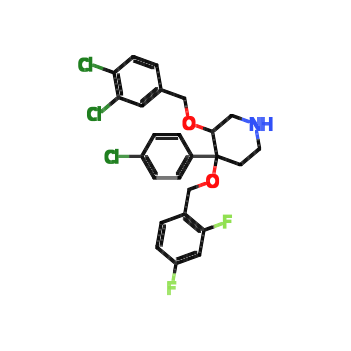 Fc1ccc(COC2(c3ccc(Cl)cc3)CCNCC2OCc2ccc(Cl)c(Cl)c2)c(F)c1